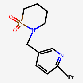 CC(C)c1ccc(CN2CCCCS2(=O)=O)cn1